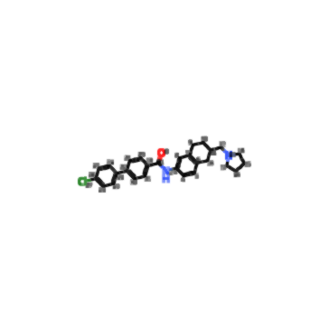 O=C(Nc1ccc2c(c1)CCC(CN1CCCC1)C2)c1ccc(-c2ccc(Cl)cc2)cc1